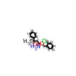 CC(O)(CC(N)OCc1ccccc1Cl)c1ccccc1